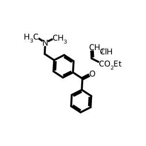 C=CC(=O)OCC.CN(C)Cc1ccc(C(=O)c2ccccc2)cc1.Cl